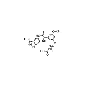 CC(=O)O.COc1cc(OC)cc(C(Nc2ccc(C(=N)N)c(O)c2)C(=O)O)c1